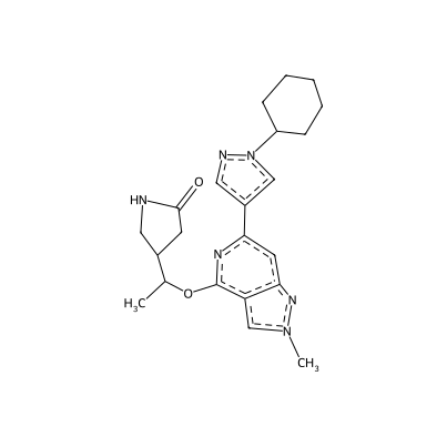 CC(Oc1nc(-c2cnn(C3CCCCC3)c2)cc2nn(C)cc12)C1CNC(=O)C1